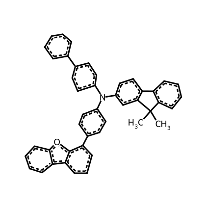 CC1(C)c2ccccc2-c2ccc(N(c3ccc(-c4ccccc4)cc3)c3ccc(-c4cccc5c4oc4ccccc45)cc3)cc21